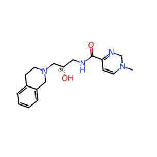 CN1C=CC(C(=O)NC[C@H](O)CN2CCc3ccccc3C2)=NC1